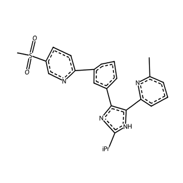 Cc1cccc(-c2[nH]c(C(C)C)nc2-c2cccc(-c3ccc(S(C)(=O)=O)cn3)c2)n1